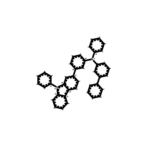 c1ccc(-c2cccc(N(c3ccccc3)c3cccc(-c4ccc5c6ccccc6n(-c6ccccc6)c5c4)c3)c2)cc1